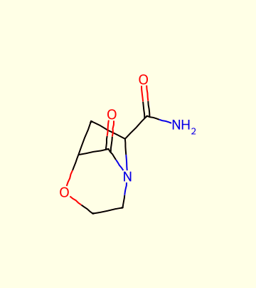 NC(=O)C1CC2OCCN1C2=O